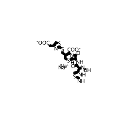 N=c1[nH]c(C(=NO)C(=O)NC2C(=O)N3C(C(=O)[O-])=C(CSc4nc(CC(=O)[O-])cs4)CS[C@@H]23)cs1.[Na+].[Na+]